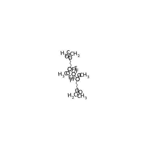 C=C(C)C(=O)OCCCCc1ccc(OC)c(-c2cc(C(F)(F)F)c(-c3cc(CCCCOC(=O)C(=C)C)ccc3OC)cc2C(F)(F)F)c1